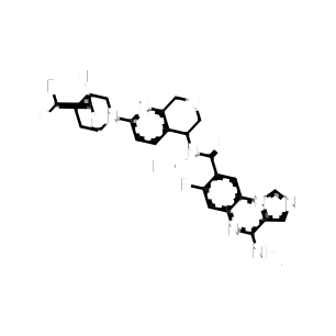 CN(C(=O)c1cc2c(cc1F)nc(N)c1cncn12)C1COCc2nc(N3C[C@@H]4CCC3CC4=C(F)F)ccc21